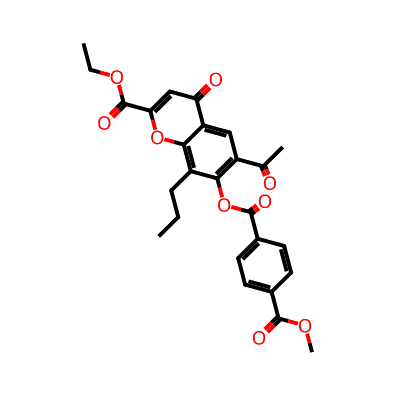 CCCc1c(OC(=O)c2ccc(C(=O)OC)cc2)c(C(C)=O)cc2c(=O)cc(C(=O)OCC)oc12